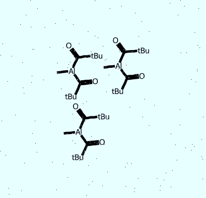 [CH3][Al]([C](=O)C(C)(C)C)[C](=O)C(C)(C)C.[CH3][Al]([C](=O)C(C)(C)C)[C](=O)C(C)(C)C.[CH3][Al]([C](=O)C(C)(C)C)[C](=O)C(C)(C)C